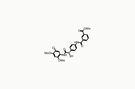 COC(=O)c1cccc(C(=O)Nc2ccc(N(S)C(=O)Nc3cc(Cl)c(OC)cc3OC)cc2)c1